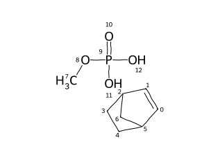 C1=CC2CCC1C2.COP(=O)(O)O